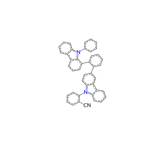 N#Cc1ccccc1-n1c2ccccc2c2cc(-c3ccccc3-c3cccc4c5ccccc5n(-c5ccccc5)c34)ccc21